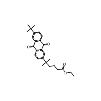 CCOC(=O)CCCC(C)(C)c1ccc2c(c1)C(=O)c1ccc(C(C)(C)C)cc1C2=O